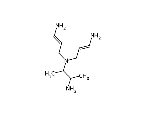 CC(N)C(C)N(CC=CN)CC=CN